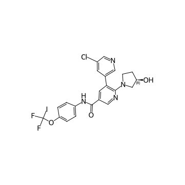 O=C(Nc1ccc(OC(F)(F)I)cc1)c1cnc(N2CC[C@@H](O)C2)c(-c2cncc(Cl)c2)c1